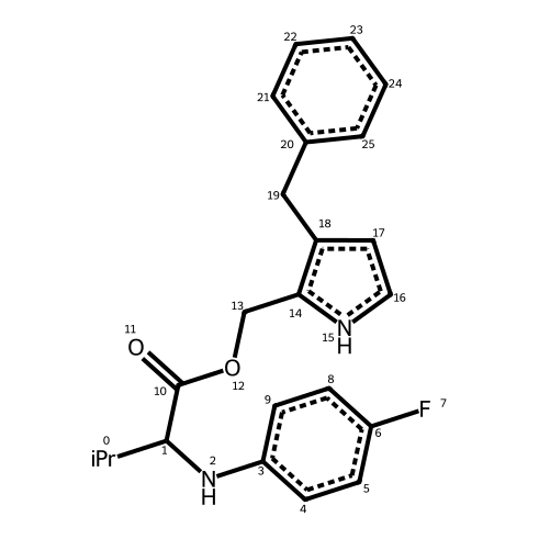 CC(C)C(Nc1ccc(F)cc1)C(=O)OCc1[nH]ccc1Cc1ccccc1